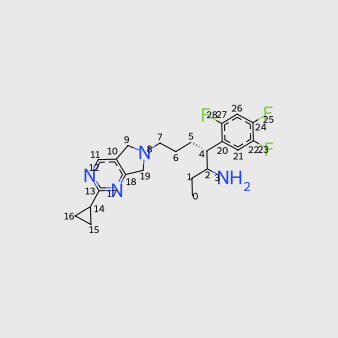 CCC(N)[C@H](CCCN1Cc2cnc(C3CC3)nc2C1)c1cc(F)c(F)cc1F